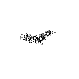 Cc1cc(N(CC(C)C)C(=O)O)ccc1N1CCCC2(CCN([C@H]3CC[C@H](O)CC3)C2=O)C1